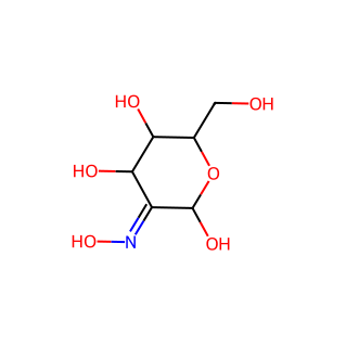 OCC1OC(O)C(=NO)C(O)C1O